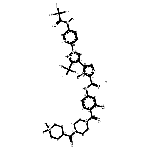 CN(C(=O)C(F)(F)F)c1ccc(-n2cc(-c3cnc(C(=O)Nc4ccc(C(=O)N5CCN(C(=O)C6CC[N+](C)(C)CC6)CC5)c(Cl)c4)n3C)c(C(F)(F)F)n2)nc1.[I-]